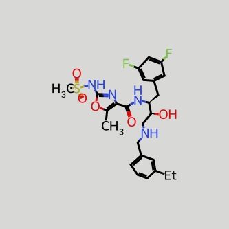 CCc1cccc(CNC[C@H](O)[C@H](Cc2cc(F)cc(F)c2)NC(=O)c2nc(NS(C)(=O)=O)oc2C)c1